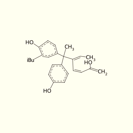 C=C(O)/C=C\C(=C/C)C(C)(c1ccc(O)cc1)c1ccc(O)c(C(C)CC)c1